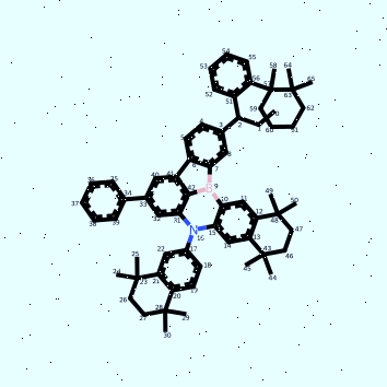 CCC(c1ccc2c(c1)B1c3cc4c(cc3N(c3ccc5c(c3)C(C)(C)CCC5(C)C)c3cc(-c5ccccc5)cc-2c31)C(C)(C)CCC4(C)C)c1ccccc1C1(C)CCCCC1(C)C